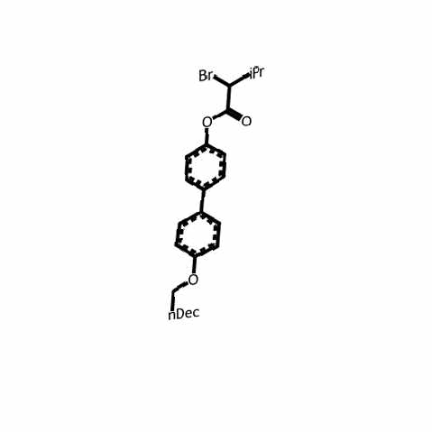 CCCCCCCCCCCOc1ccc(-c2ccc(OC(=O)C(Br)C(C)C)cc2)cc1